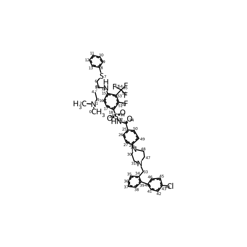 CN(C)CC[C@H](CSc1ccccc1)Nc1ccc(S(=O)(=O)NC(=O)c2ccc(N3CCN(Cc4ccccc4-c4ccc(Cl)cc4)CC3)cc2)c(F)c1C(F)(F)F